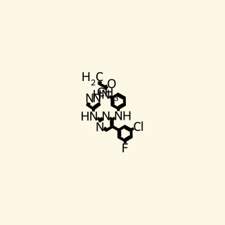 C=CC(=O)Nc1cccc(Nc2nc(Nc3cnn(C)c3)ncc2-c2cc(F)cc(Cl)c2)c1